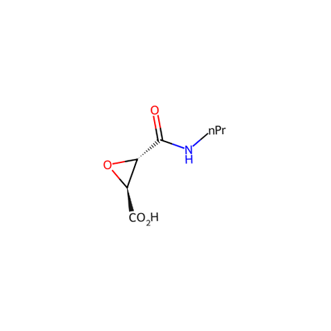 CCCNC(=O)[C@H]1O[C@@H]1C(=O)O